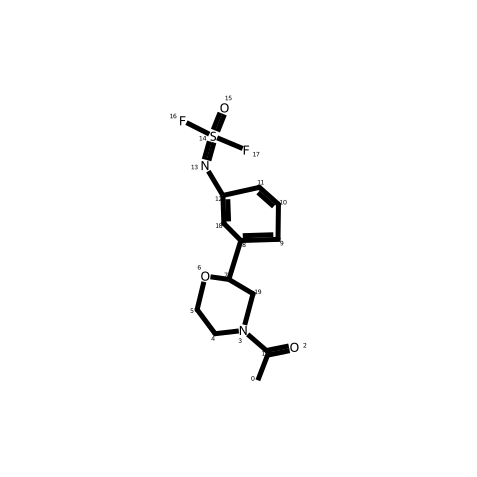 CC(=O)N1CCOC(c2cccc(N=S(=O)(F)F)c2)C1